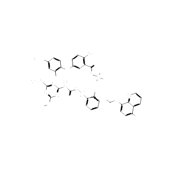 CCOc1nc(NC)nc(NC(=O)NS(=O)(=O)c2ccccc2C(=O)O)n1.CS(=O)(=O)NC(=O)c1cc(Oc2ccc(C(F)(F)F)cc2Cl)ccc1[N+](=O)[O-].O=C(O)COc1ccc(Cl)c2cccnc12